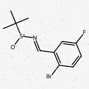 CC(C)(C)[S+]([O-])N=Cc1cc(F)ccc1Br